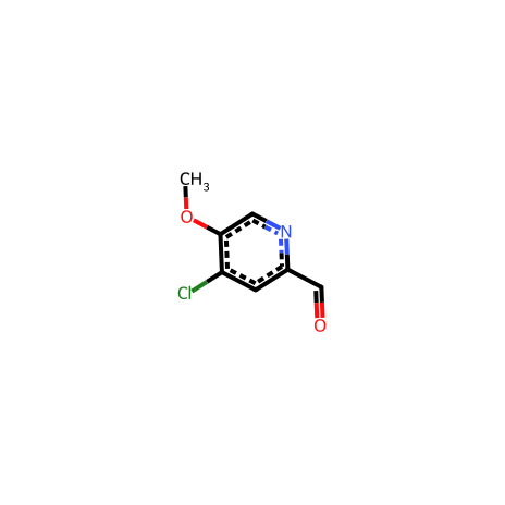 COc1cnc(C=O)cc1Cl